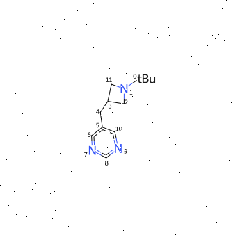 CC(C)(C)N1CC(Cc2cncnc2)C1